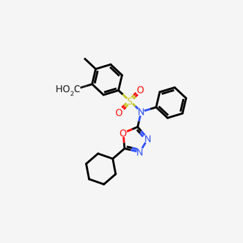 Cc1ccc(S(=O)(=O)N(c2ccccc2)c2nnc(C3CCCCC3)o2)cc1C(=O)O